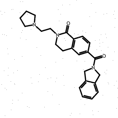 O=C(c1ccc2c(c1)CCN(CCN1CCCC1)C2=O)N1Cc2ccccc2C1